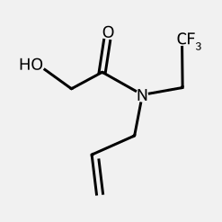 C=CCN(CC(F)(F)F)C(=O)CO